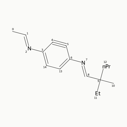 C/C=N/c1c#cc(/N=C/C(C)(CC)CCC)cc1